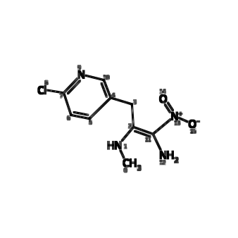 CNC(Cc1ccc(Cl)nc1)=C(N)[N+](=O)[O-]